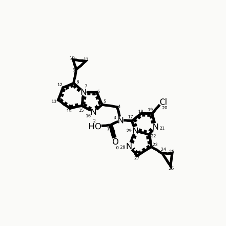 O=C(O)N(Cc1cn2c(C3CC3)cccc2n1)c1cc(Cl)nc2c(C3CC3)cnn12